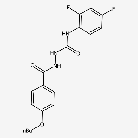 CCCCOc1ccc(C(=O)NNC(=O)Nc2ccc(F)cc2F)cc1